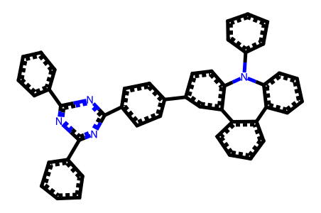 c1ccc(-c2nc(-c3ccccc3)nc(-c3ccc(-c4ccc5c(c4)-c4ccccc4-c4ccccc4N5c4ccccc4)cc3)n2)cc1